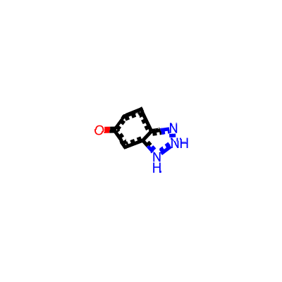 O=c1ccc2n[nH][nH]c-2c1